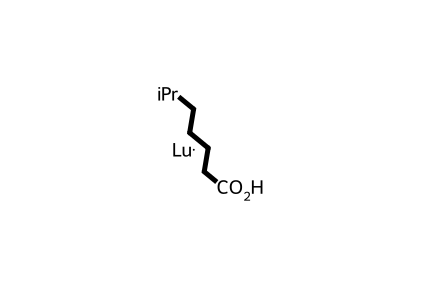 CC(C)CCCCC(=O)O.[Lu]